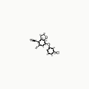 N#Cc1c(F)cc(Oc2cccc(Cl)c2)c2c1CCO2